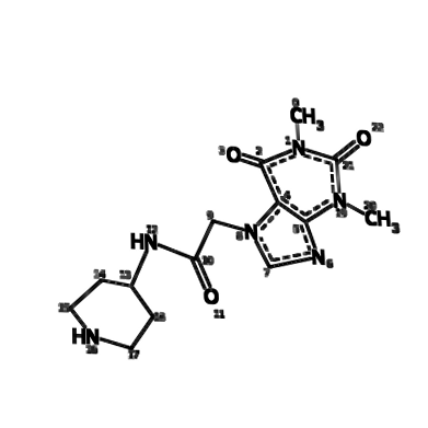 Cn1c(=O)c2c(ncn2CC(=O)NC2CCNCC2)n(C)c1=O